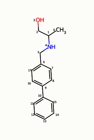 CC(CO)NCc1ccc(-c2ccccc2)cc1